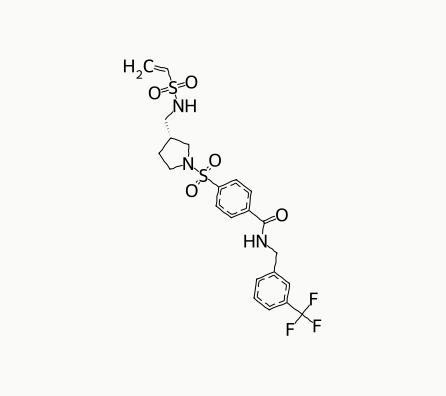 C=CS(=O)(=O)NC[C@H]1CCN(S(=O)(=O)c2ccc(C(=O)NCc3cccc(C(F)(F)F)c3)cc2)C1